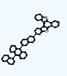 c1ccc2c(-c3c4ccccc4c(-c4ccc5cc(-c6ccc7c(c6)oc6c8ccccc8c8sc9ccccc9c8c76)ccc5c4)c4ccccc34)cccc2c1